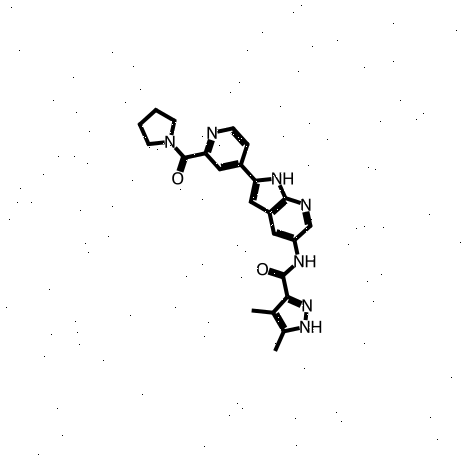 Cc1[nH]nc(C(=O)Nc2cnc3[nH]c(-c4ccnc(C(=O)N5CCCC5)c4)cc3c2)c1C